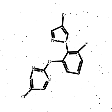 Fc1cccc(Oc2ncc(Cl)cn2)c1-n1cc(Br)cn1